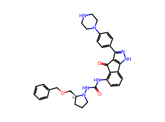 O=C(Nc1cccc2c1C(=O)c1c(-c3ccc(N4CCNCC4)cc3)n[nH]c1-2)NN1CCC[C@H]1COCc1ccccc1